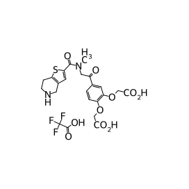 CN(CC(=O)c1ccc(OCC(=O)O)c(OCC(=O)O)c1)C(=O)c1cc2c(s1)CCNC2.O=C(O)C(F)(F)F